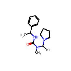 CCC(N1CCCC1)N(C)C(=O)NC(C)c1ccccc1